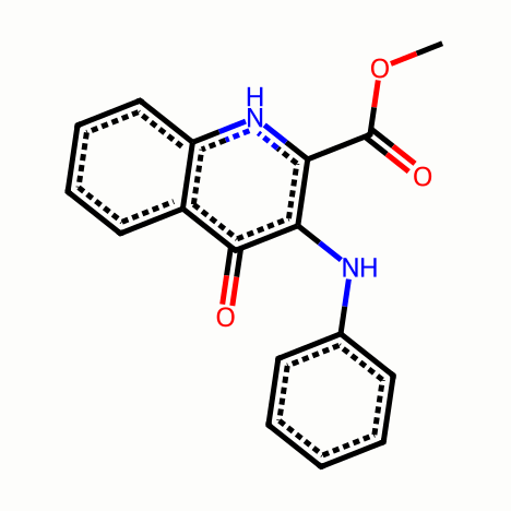 COC(=O)c1[nH]c2ccccc2c(=O)c1Nc1ccccc1